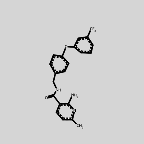 Cc1ccc(C(=O)NCc2ccc(Oc3cccc(C(F)(F)F)c3)cc2)c(N)n1